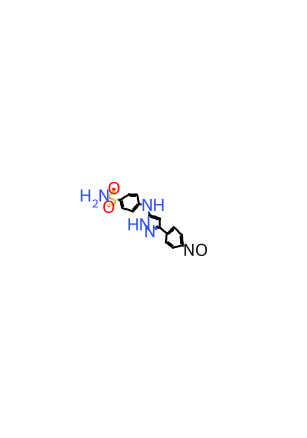 NS(=O)(=O)c1ccc(Nc2cc(-c3ccc(N=O)cc3)n[nH]2)cc1